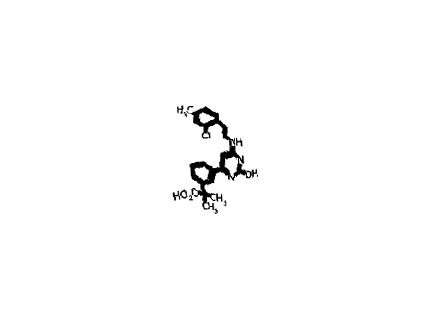 Cc1ccc(CCNc2cc(-c3cccc(C(C)(C)C(=O)O)c3)nc(O)n2)c(Cl)c1